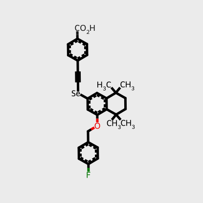 CC1(C)CCC(C)(C)c2c(OCc3ccc(F)cc3)cc([Se]C#Cc3ccc(C(=O)O)cc3)cc21